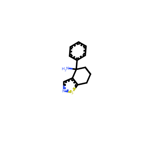 NC1(c2ccccc2)CCCc2sncc21